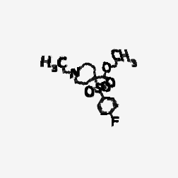 CCOC(=O)C1(S(=O)(=O)c2ccc(F)cc2)CCN(CC)CC1